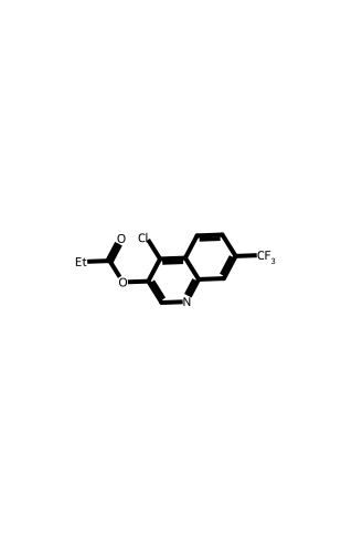 CCC(=O)Oc1cnc2cc(C(F)(F)F)ccc2c1Cl